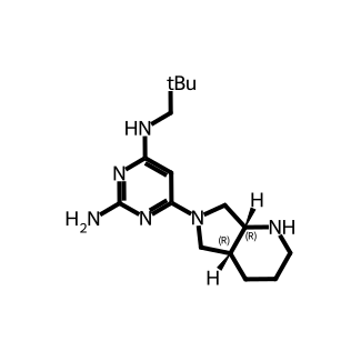 CC(C)(C)CNc1cc(N2C[C@H]3CCCN[C@H]3C2)nc(N)n1